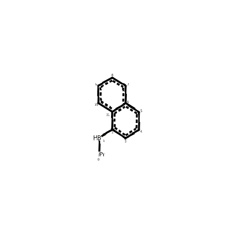 CC(C)Bc1cccc2ccccc12